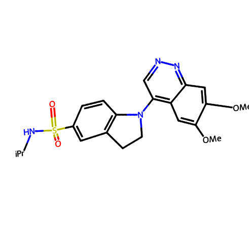 COc1cc2nncc(N3CCc4cc(S(=O)(=O)NC(C)C)ccc43)c2cc1OC